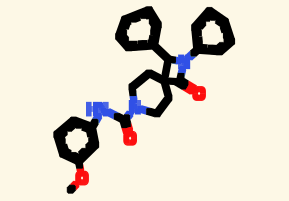 COc1cccc(NC(=O)N2CCC3(CC2)C(=O)N(c2ccccc2)C3c2ccccc2)c1